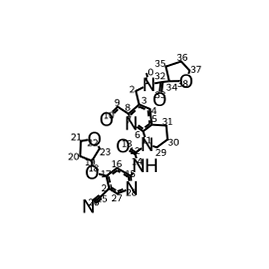 CN(Cc1cc2c(nc1C=O)N(C(=O)Nc1cc(OC3CCOC3)c(C#N)cn1)CCC2)C(=O)C1CCCO1